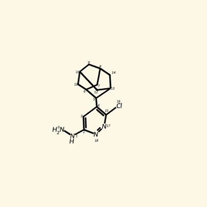 NNc1cc(C2C3CC4CC(C3)CC2C4)c(Cl)nn1